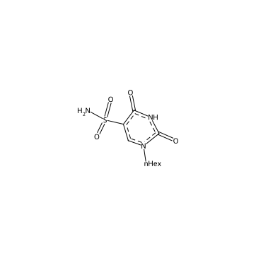 CCCCCCn1cc(S(N)(=O)=O)c(=O)[nH]c1=O